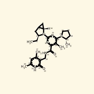 CC[C@H]1CC2C[C@@H]2N1c1nc(C(=O)NCc2c(C)cc(C)[nH]c2=O)c(C)c(N2CCC[C@@H]2C)n1